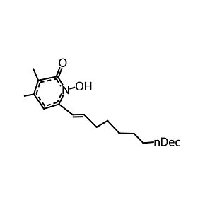 CCCCCCCCCCCCCCC/C=C/c1cc(C)c(C)c(=O)n1O